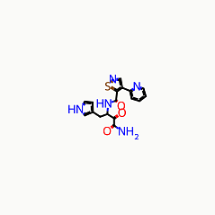 NC(=O)C(=O)C(Cc1cc[nH]c1)NC(=O)c1sncc1-c1ccccn1